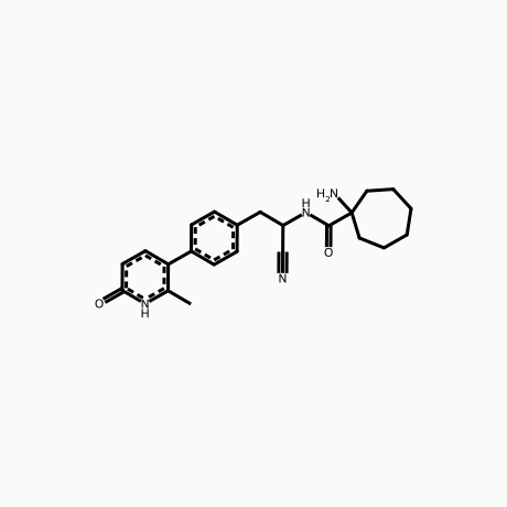 Cc1[nH]c(=O)ccc1-c1ccc(CC(C#N)NC(=O)C2(N)CCCCCC2)cc1